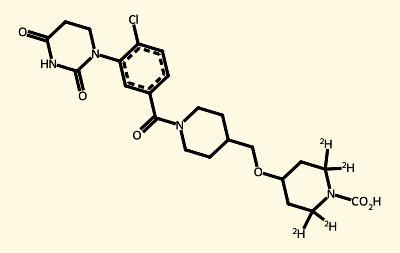 [2H]C1([2H])CC(OCC2CCN(C(=O)c3ccc(Cl)c(N4CCC(=O)NC4=O)c3)CC2)CC([2H])([2H])N1C(=O)O